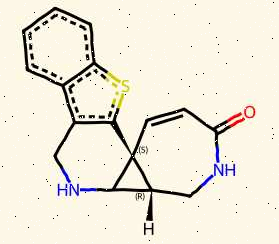 O=C1C=C[C@@]23c4sc5ccccc5c4CNC2[C@H]3CN1